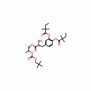 CCC(C)(C)C(=O)Oc1ccc(C[C@H](N)C(=O)O[C@@H](C)C(C)OC(=O)OCC(C)(C)C)cc1OC(=O)C(C)(C)CC